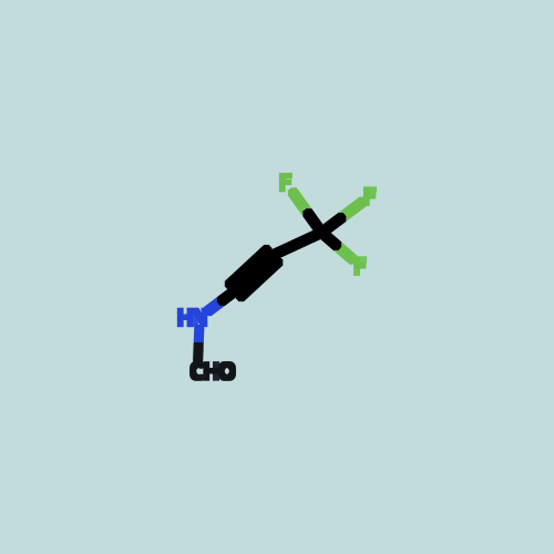 O=CNC#CC(F)(F)F